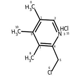 Cc1cnc(CCl)c(C)c1C.Cl